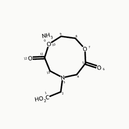 N.O=C(O)CN1CC(=O)OCCOC(=O)C1